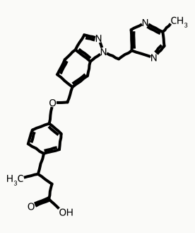 Cc1cnc(Cn2ncc3ccc(COc4ccc(C(C)CC(=O)O)cc4)cc32)cn1